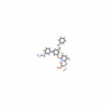 CC[C@@H](Oc1nc(Oc2cc(OCc3ccccc3)cc(-c3cccc(CN)c3)c2)c(F)cc1F)C(=O)O